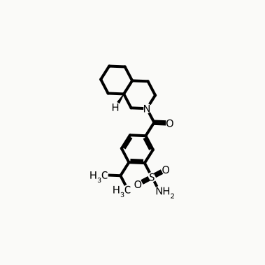 CC(C)c1ccc(C(=O)N2CCC3CCCC[C@H]3C2)cc1S(N)(=O)=O